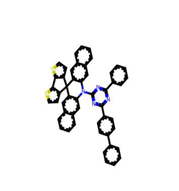 c1ccc(-c2ccc(-c3nc(-c4ccccc4)nc(N4c5cc6ccccc6cc5C5(c6cc7ccccc7cc64)c4ccsc4-c4sccc45)n3)cc2)cc1